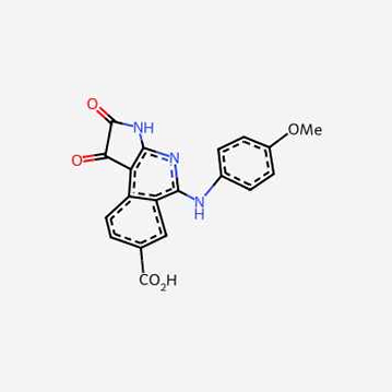 COc1ccc(Nc2nc3c(c4ccc(C(=O)O)cc24)C(=O)C(=O)N3)cc1